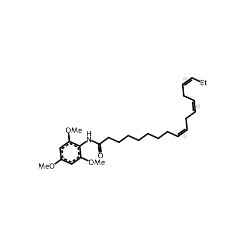 CC/C=C\C/C=C\C/C=C\CCCCCCCC(=O)Nc1c(OC)cc(OC)cc1OC